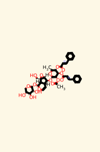 CC(=O)O[C@H]1[C@H](O[C@H]2[C@@H]3C=CO[C@@H](O[C@@H]4OC[C@@H](O)[C@H](O)[C@H]4O)[C@@H]3[C@@]3(CO)O[C@@H]23)O[C@@H](C)[C@H](OC(=O)/C=C/c2ccccc2)[C@H]1OC(=O)/C=C/c1ccccc1